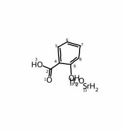 O.O=C(O)c1ccccc1O.[SrH2]